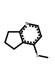 [CH2]Sc1ccnc2c1CCC2